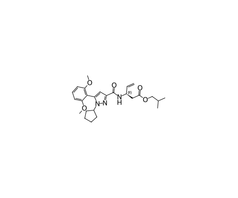 C=C[C@@H](CC(=O)OCC(C)C)NC(=O)c1cc(-c2c(OC)cccc2OC)n(C2CCCC2)n1